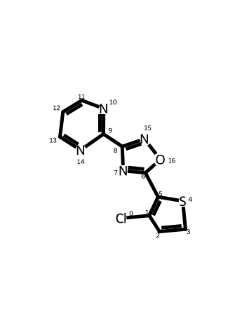 Clc1ccsc1-c1nc(-c2ncccn2)no1